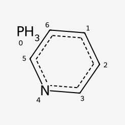 P.c1ccncc1